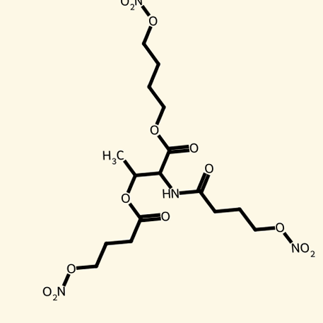 CC(OC(=O)CCCO[N+](=O)[O-])C(NC(=O)CCCO[N+](=O)[O-])C(=O)OCCCCO[N+](=O)[O-]